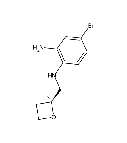 Nc1cc(Br)ccc1NC[C@@H]1CCO1